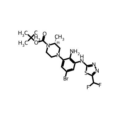 C[C@@H]1CN(c2cc(Br)cc(Nc3nnc(C(F)F)s3)c2N)CCN1C(=O)OC(C)(C)C